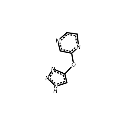 c1cnc(Oc2c[nH]nn2)cn1